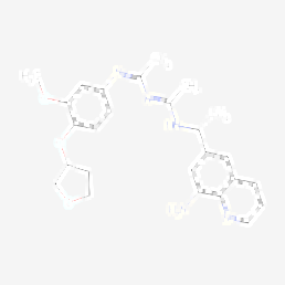 COc1cc(/N=C(C)\N=C(/C)N[C@H](C)c2cc(N)c3ncccc3c2)ccc1OC1CCOC1